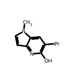 CC(C)c1cc2c(ccn2C)nc1O